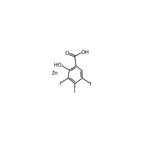 O=C(O)c1cc(I)c(I)c(I)c1O.[Zn]